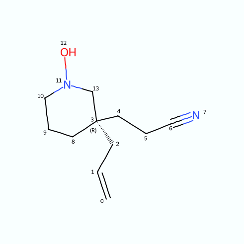 C=CC[C@]1(CCC#N)CCCN(O)C1